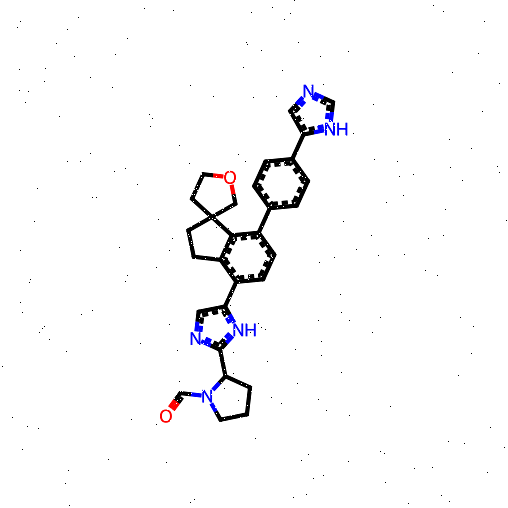 O=CN1CCCC1c1ncc(-c2ccc(-c3ccc(-c4cnc[nH]4)cc3)c3c2CCC32CCOC2)[nH]1